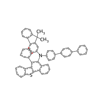 CC1(C)c2ccccc2-c2ccc(N(c3ccc(-c4ccc(-c5ccccc5)cc4)cc3)c3c(-c4ccccc4)c4c5ccccc5sc4c4ccccc34)cc21